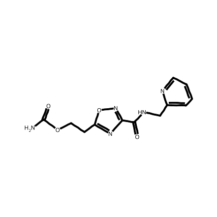 NC(=O)OCCc1nc(C(=O)NCc2ccccn2)no1